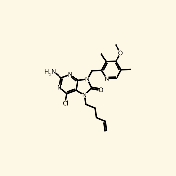 C=CCCCn1c(=O)n(Cc2ncc(C)c(OC)c2C)c2nc(N)nc(Cl)c21